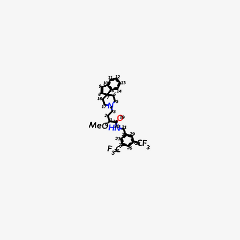 COC(CCN1CCC2(C=Cc3ccccc32)CC1)C(=O)NCc1cc(C(F)(F)F)cc(C(F)(F)F)c1